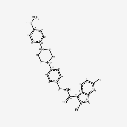 CCc1nc2cc(C)ccn2c1C(=O)NCc1ccc(N2CCN(c3ccc(OC(F)(F)F)cc3)CC2)cc1